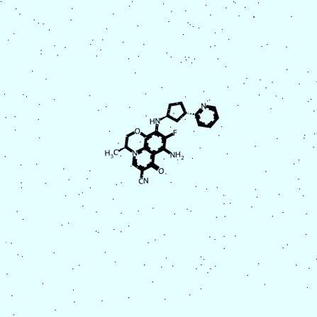 C[C@H]1COc2c(N[C@H]3CC[C@H](c4ccccn4)C3)c(F)c(N)c3c(=O)c(C#N)cn1c23